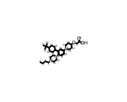 CCCCN1CCN(c2ccc(N3CCC(OCC(=O)O)CC3)cc2C2CCC(C(C)(C)C)CC2)CC1